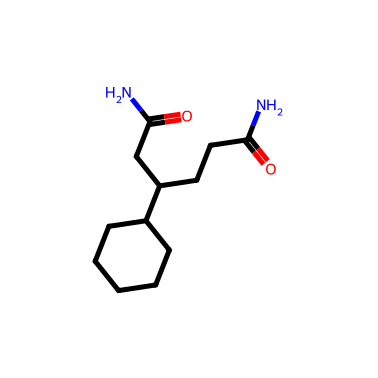 NC(=O)CCC(CC(N)=O)C1CCCCC1